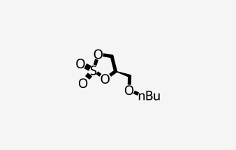 CCCCOC[C@@H]1COS(=O)(=O)O1